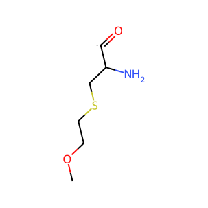 COCCSCC(N)[C]=O